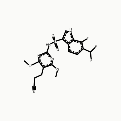 COc1nc(NS(=O)(=O)c2c[nH]c3c(F)c(C(F)F)ccc23)nc(OC)c1CCC#N